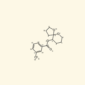 O=C(OC1CCCOC12CCCO2)c1cccc(C(F)(F)F)c1